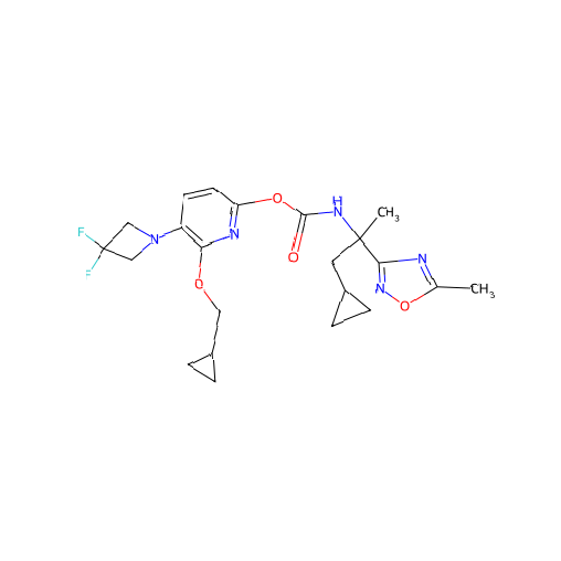 Cc1nc(C(C)(CC2CC2)NC(=O)Oc2ccc(N3CC(F)(F)C3)c(OCC3CC3)n2)no1